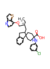 CC[C@H](COc1ccnc2ccsc12)CC1Cc2ccccc2C12CCC(Nc1cccc(Cl)c1)(C(=O)O)CC2